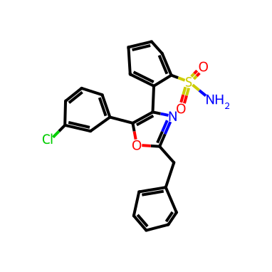 NS(=O)(=O)c1ccccc1-c1nc(Cc2ccccc2)oc1-c1cccc(Cl)c1